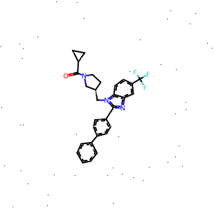 O=C(C1CC1)N1CC[C@@H](Cn2c(-c3ccc(-c4ccccc4)cc3)nc3cc(C(F)(F)F)ccc32)C1